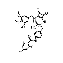 COc1cc(CNc2c(N[C@@H](Cc3ccc(NC(=O)c4ncc(Cl)cc4Cl)cc3)C(=O)O)c(=O)c2=O)cc(OC)c1OC